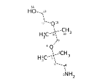 CC(C)(CCN)OCC(C)(C)OCCO